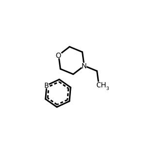 CCN1CCOCC1.b1ccccc1